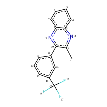 Cc1nc2ccccc2nc1-c1cccc(C(F)(F)F)c1